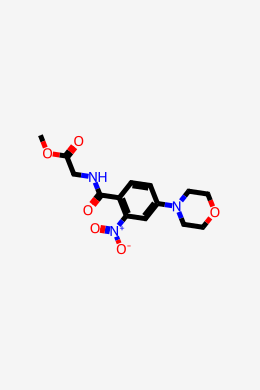 COC(=O)CNC(=O)c1ccc(N2CCOCC2)cc1[N+](=O)[O-]